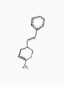 CC1=CCC(/C=C/c2ccccc2)CC1